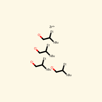 CCCCC(CC)C[O-].CCCCC(CC)C[O-].CCCCC(CC)C[O-].CCCCC(CC)C[O-].[Zr+4]